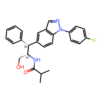 CC(C)C(=O)N[C@H](CO)[C@H](c1ccccc1)c1ccc2c(cnn2-c2ccc(F)cc2)c1